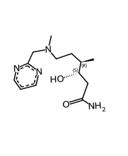 C[C@H](CCN(C)Cc1ncccn1)[C@@H](O)CC(N)=O